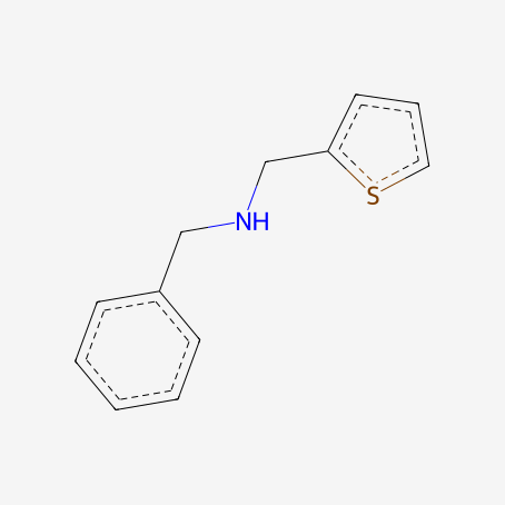 c1ccc(CNCc2cccs2)cc1